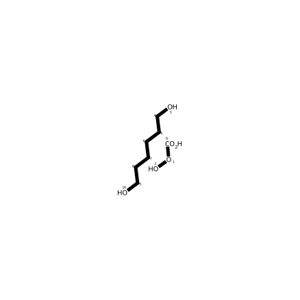 O=C(O)OO.OCCCCCCO